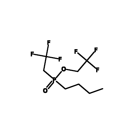 CCCCP(=O)(CC(F)(F)F)OCC(F)(F)F